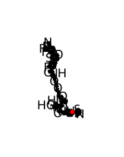 Cc1ncsc1-c1ccc(CNC(=O)[C@@H]2C[C@@H](O)CN2C(=O)C(NC(=O)CCCOCCOCCNC(=O)c2ccc(N3C(=S)N(c4ccc(C#N)c(C(F)(F)F)c4)C(=O)C3(C)C)cc2F)C(C)(C)C)cc1